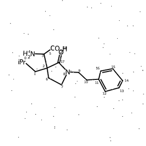 CC(C)CC1(C(N)C(=O)O)CCN(CCc2ccccc2)C1=O